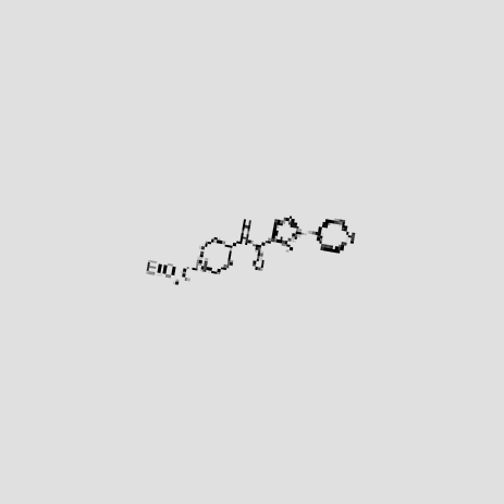 CCOC(=O)N1CCC(NC(=O)c2ccc(-c3ccncc3)s2)CC1